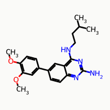 COc1ccc(-c2ccc3nc(N)nc(NCCC(C)C)c3c2)cc1OC